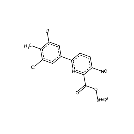 CCCCCCCOC(=O)c1nc(-c2cc(Cl)c(C)c(Cl)c2)ccc1N=O